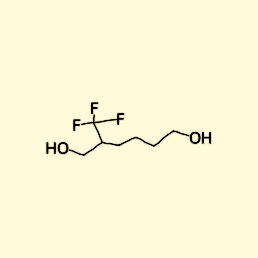 OCCCCC(CO)C(F)(F)F